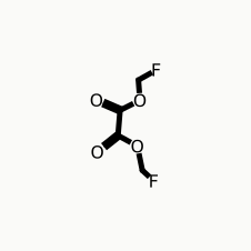 O=C(OCF)C(=O)OCF